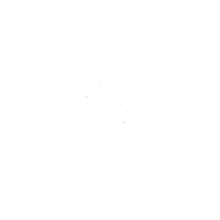 CSc1nc2c(c(N3CCCn4nc(C(=O)N(C)C)cc4C3)n1)CCNC2